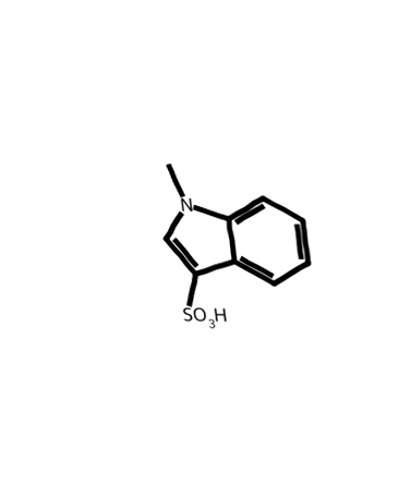 Cn1cc(S(=O)(=O)O)c2ccccc21